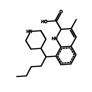 CCCCC(c1cccc2c1NC(C(=O)O)C(C)=C2)C1CCNCC1